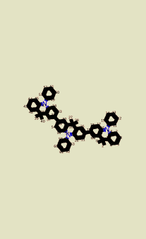 CC1(C)c2ccccc2N(c2ccccc2)c2ccc(-c3ccc4c(c3)C(C)(C)c3cc(-c5ccc6c(c5)C(C)(C)c5ccccc5N6c5ccccc5)ccc3N4c3ccccc3)cc21